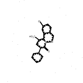 O=C(O)c1cc(-c2ccccc2)c(=O)n2ncc3ccc(Cl)cc3c12